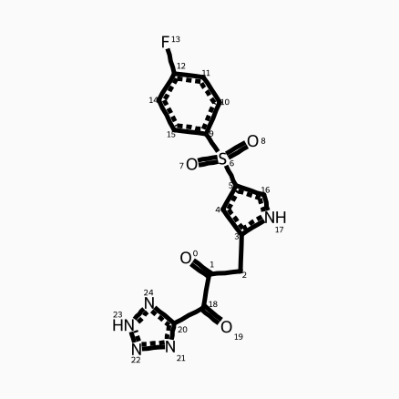 O=C(Cc1cc(S(=O)(=O)c2ccc(F)cc2)c[nH]1)C(=O)c1nn[nH]n1